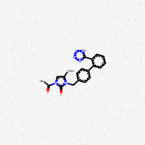 CCCCCCc1cn(C(=O)CCCC)c(=O)n1Cc1ccc(-c2ccccc2-c2nnn[nH]2)cc1